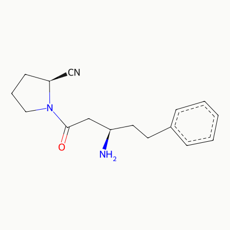 N#C[C@@H]1CCCN1C(=O)C[C@H](N)CCc1ccccc1